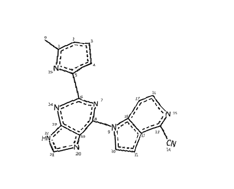 Cc1cccc(-c2nc(-n3ccc4c(C#N)nccc43)c3nc[nH]c3n2)n1